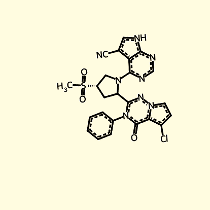 CS(=O)(=O)[C@H]1CC(c2nn3ccc(Cl)c3c(=O)n2-c2ccccc2)N(c2ncnc3[nH]cc(C#N)c23)C1